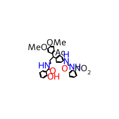 COc1cc(C(C)=O)c(C(CCNC(=O)c2ccccc2O)c2ccc(NC(=O)Nc3ccccc3[N+](=O)[O-])cc2)cc1OC